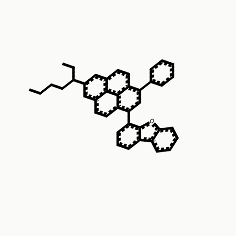 CCCCC(CC)c1cc2ccc3c(-c4ccccc4)cc(-c4cccc5c4oc4ccccc45)c4ccc(c1)c2c34